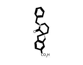 O=C(O)c1ccc2c(c1)C[C@]1(CCCN(Cc3ccccc3)C1=O)C2